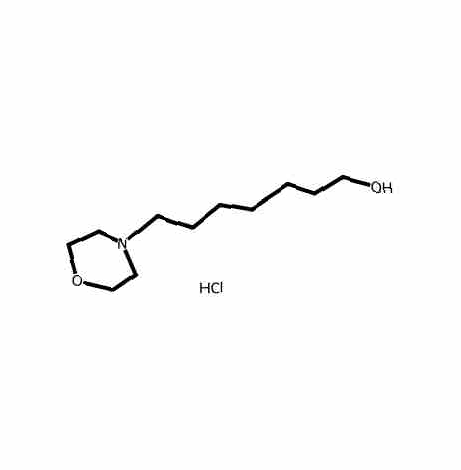 Cl.OCCCCCCCN1CCOCC1